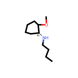 CCCCN[C@@H]1CCCCC1OC